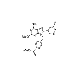 COC(=O)c1ccc(Cn2c(-c3cncc(F)c3)nc3c(N)nc(OC)nc32)cc1